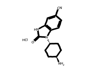 Cl.N#Cc1ccc2c(c1)[nH]c(=O)n2[C@H]1CC[C@H](N)CC1